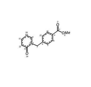 COC(=O)c1ccc(Cn2cnccc2=O)cc1